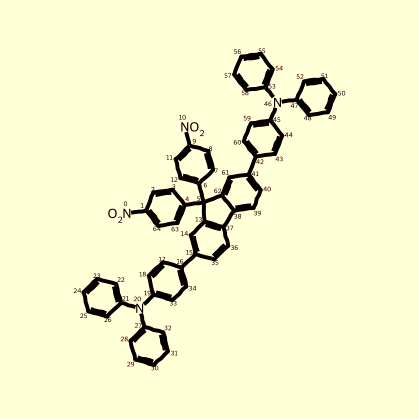 O=[N+]([O-])c1ccc(C2(c3ccc([N+](=O)[O-])cc3)c3cc(-c4ccc(N(c5ccccc5)c5ccccc5)cc4)ccc3-c3ccc(-c4ccc(N(c5ccccc5)c5ccccc5)cc4)cc32)cc1